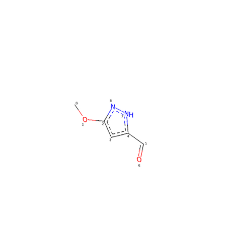 COc1cc(C=O)[nH]n1